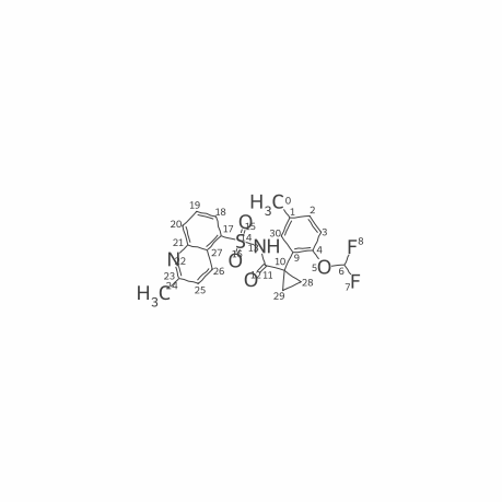 Cc1ccc(OC(F)F)c(C2(C(=O)NS(=O)(=O)c3cccc4nc(C)ccc34)CC2)c1